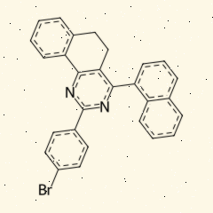 Brc1ccc(-c2nc3c(c(-c4cccc5ccccc45)n2)CCc2ccccc2-3)cc1